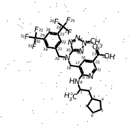 CC(CC1CCCC1)Nc1ncc(C(=O)O)cc1CN(Cc1cc(C(F)(F)F)cc(C(F)(F)F)c1)c1nnn(C)n1